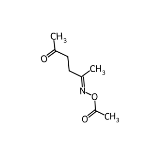 CC(=O)CC/C(C)=N/OC(C)=O